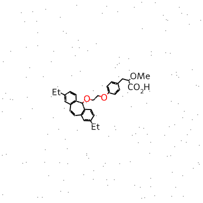 CCc1ccc2c(c1)C=Cc1cc(CC)ccc1C2OCCOc1ccc(CC(OC)C(=O)O)cc1